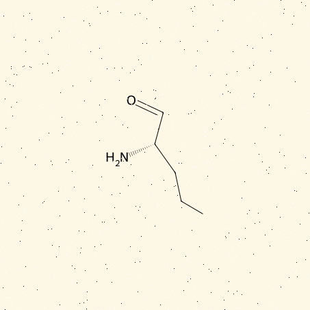 CCC[C@H](N)C=O